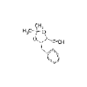 C#CC1OC(C)(C)OC1Cc1ccccc1